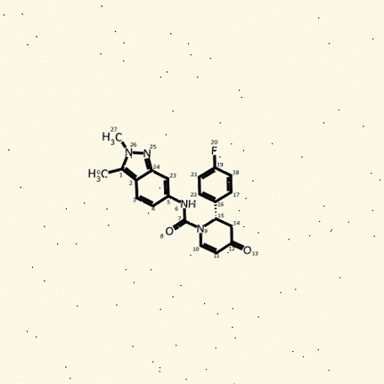 Cc1c2ccc(NC(=O)N3C=CC(=O)C[C@H]3c3ccc(F)cc3)cc2nn1C